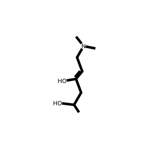 CC(O)CC(O)=CCN(C)C